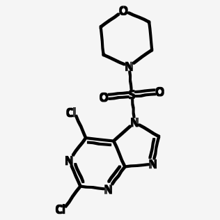 O=S(=O)(N1CCOCC1)n1cnc2nc(Cl)nc(Cl)c21